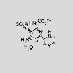 CCOC(=O)NC1=NC(C2C=CCCN2)=CC(N)N1OS(=O)(=O)O.O